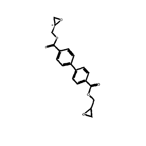 O=C(OCC1CO1)c1ccc(-c2ccc(C(=O)OC[C@H]3CO3)cc2)cc1